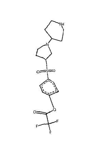 O=C(Oc1ccc(S(=O)(=O)C2CCN(C3CCNCC3)C2)cc1)C(F)(F)F